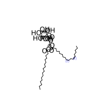 CCCCC/C=C\C/C=C\CCCCCCCC(=O)O[C@H](COC(=O)CCCCCCCCCCCCCCCCC)COP(=O)(O)OC1[C@H](O)[C@H](O)C(O)[C@H](O)[C@H]1O